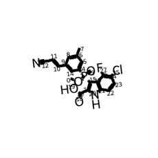 COP(=O)(c1cc(C)cc(/C=C/C#N)c1)c1c(C(=O)O)[nH]c2ccc(Cl)c(F)c12